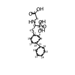 O=C(O)CNC(Sc1ccc(-c2ccccc2)cc1)P(=O)(O)O